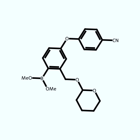 COB(OC)c1ccc(Oc2ccc(C#N)cc2)cc1COC1CCCCO1